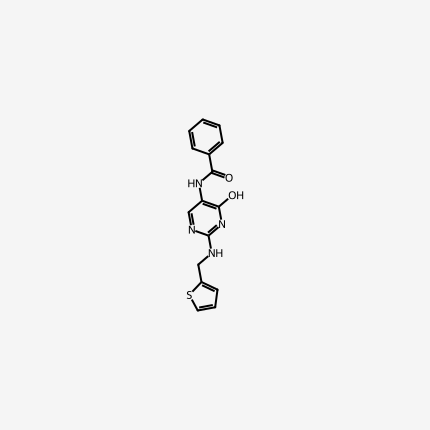 O=C(Nc1cnc(NCc2cccs2)nc1O)c1ccccc1